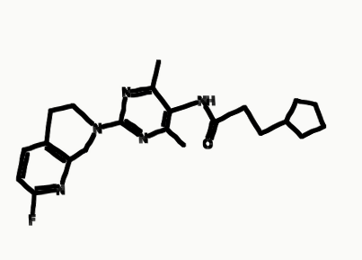 Cc1nc(N2CCc3ccc(F)nc3C2)nc(C)c1NC(=O)CCC1CCCC1